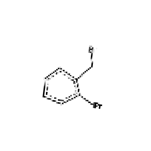 CC(C)c1ccccc1CBr